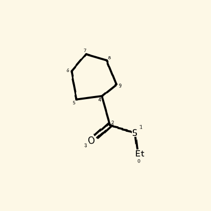 CCSC(=O)C1CCCCC1